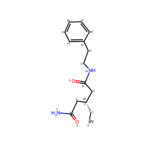 CC(C)C[C@H](CC(N)=O)CC(=O)NCCc1ccccc1